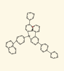 c1ccc(-c2ccc(-c3ccc(N(c4ccc(-c5ccccc5)cc4)c4ccc(-c5cccc6ccccc56)cc4)c(-c4ccccc4)c3)cc2)cc1